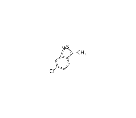 Cc1snc2cc(Cl)ccc12